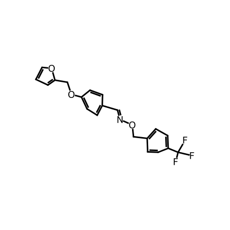 FC(F)(F)c1ccc(CO/N=C/c2ccc(OCc3ccco3)cc2)cc1